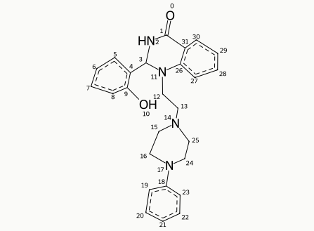 O=C1NC(c2ccccc2O)N(CCN2CCN(c3ccccc3)CC2)c2ccccc21